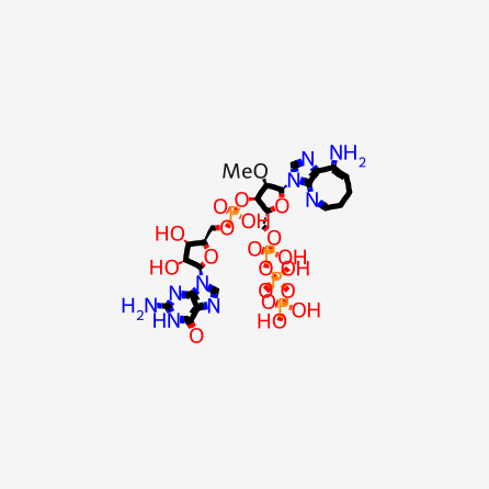 CO[C@@H]1[C@H](OP(=O)(O)OC[C@H]2O[C@@H](n3cnc4c(=O)[nH]c(N)nc43)[C@H](O)[C@@H]2O)[C@@H](COP(=O)(O)OP(=O)(O)OP(=O)(O)O)O[C@H]1n1cnc2c1/N=C\CC/C=C\2N